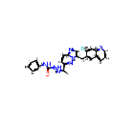 C/C(=N/NC(=O)Nc1ccccc1)c1ccc2ncc(Cc3cc4cccnc4cc3F)n2n1